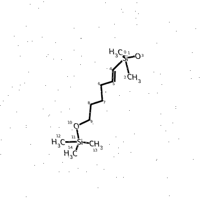 C[Si](C)([O])C=CCCCCO[Si](C)(C)C